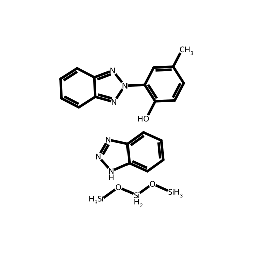 Cc1ccc(O)c(-n2nc3ccccc3n2)c1.[SiH3]O[SiH2]O[SiH3].c1ccc2[nH]nnc2c1